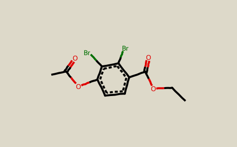 CCOC(=O)c1ccc(OC(C)=O)c(Br)c1Br